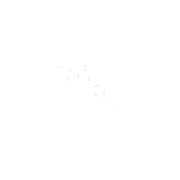 CC(O)COc1ccc(-c2cc(=O)c3cc(C(=O)O)ccc3o2)cc1